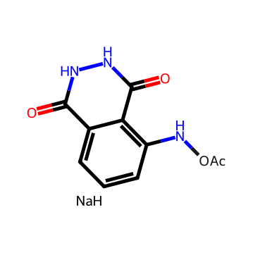 CC(=O)ONc1cccc2c(=O)[nH][nH]c(=O)c12.[NaH]